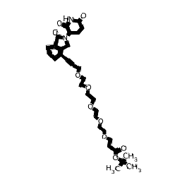 CC(C)(C)OC(=O)CCOCCOCCOCCOCCOCC#Cc1cccc2c1CN(C1CCC(=O)NC1=O)C2=O